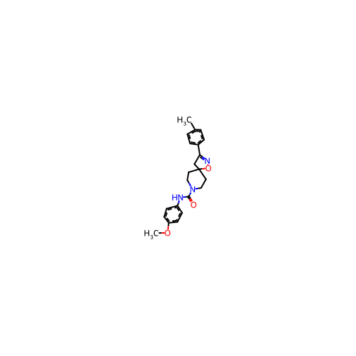 COc1ccc(NC(=O)N2CCC3(CC2)CC(c2ccc(C)cc2)=NO3)cc1